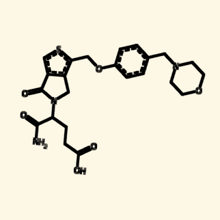 NC(=O)C(CCC(=O)O)N1Cc2c(csc2COc2ccc(CN3CCOCC3)cc2)C1=O